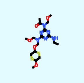 CCNc1nc(N(COC)COC2CSC(OC)CS2)nc(N(COC)C(C)=O)n1